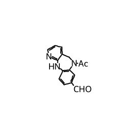 CC(=O)N1Cc2cccnc2Nc2ccc(C=O)cc21